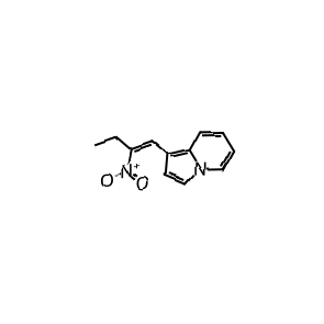 CCC(=Cc1ccn2ccccc12)[N+](=O)[O-]